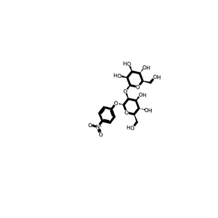 O=[N+]([O-])c1ccc(O[C@H]2O[C@H](CO)[C@@H](O)[C@H](O)[C@@H]2O[C@@H]2O[C@H](CO)[C@@H](O)[C@H](O)[C@@H]2O)cc1